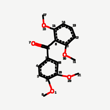 COc1ccc(C(=O)c2c(OC)cccc2OC)cc1OC